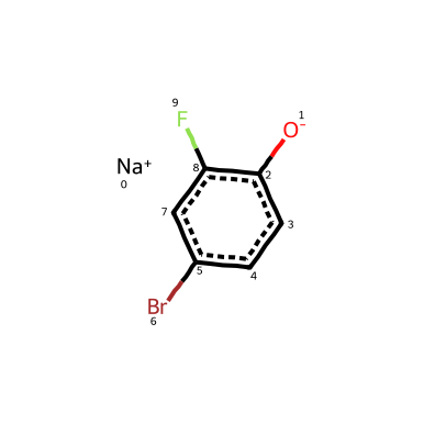 [Na+].[O-]c1ccc(Br)cc1F